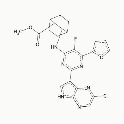 COC(=O)C1C2CCC(CC2)C1Nc1nc(-c2c[nH]c3ncc(Cl)nc23)nc(-c2ccco2)c1F